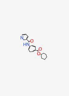 O=C(OC1CCCCC1)C1=CCC=C(NC(=O)c2cccnc2)C=C1